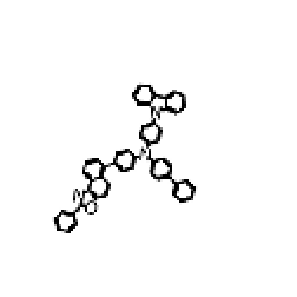 c1ccc(-c2ccc(N(c3ccc(-c4cccc5c4ccc4oc(-c6ccccc6)nc45)cc3)c3ccc(-n4c5ccccc5c5ccccc54)cc3)cc2)cc1